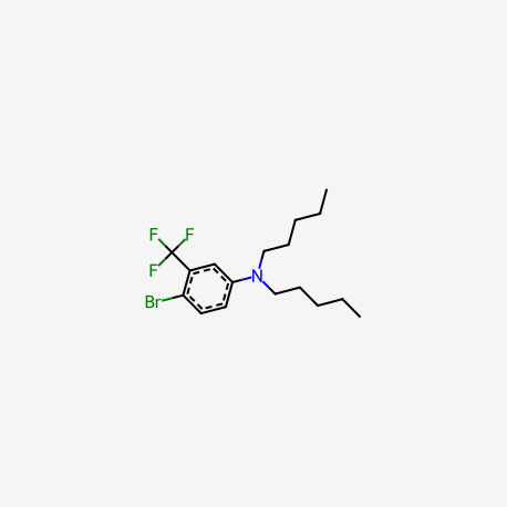 CCCCCN(CCCCC)c1ccc(Br)c(C(F)(F)F)c1